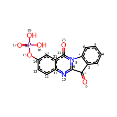 O=C1c2ccccc2-n2c1nc1ccc(OP(=O)(O)O)cc1c2=O